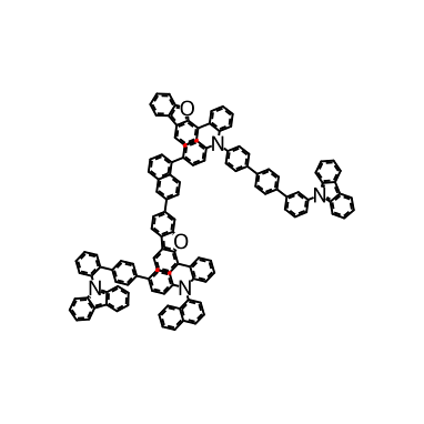 c1cc(-c2ccc(-c3ccc(N(c4ccc(-c5cccc6cc(-c7ccc8c(c7)oc7c(-c9ccccc9N(c9ccc(-c%10ccc(-c%11ccccc%11-n%11c%12ccccc%12c%12ccccc%12%11)cc%10)cc9)c9cccc%10ccccc9%10)cccc78)ccc56)cc4)c4ccccc4-c4cccc5c4oc4ccccc45)cc3)cc2)cc(-n2c3ccccc3c3ccccc32)c1